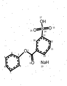 O=C(Oc1ccccc1)c1cccc(S(=O)(=O)O)c1.[NaH]